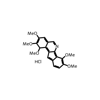 COC1=C(OC)C(OC)c2c3c(ncc2=C1)=c1c(OC)c(OC)ccc1=C3.Cl